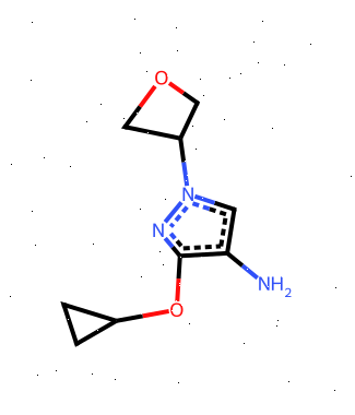 Nc1cn(C2COC2)nc1OC1CC1